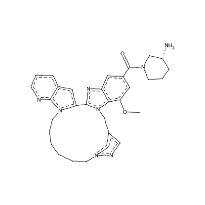 COc1cc(C(=O)N2CCC[C@@H](N)C2)cc2nc3n(c12)Cc1cnn(c1)CCCCCCn1c-3cc2cccnc21